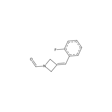 O=CN1CC(=Cc2ccccc2F)C1